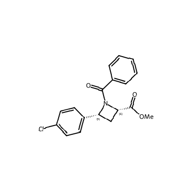 COC(=O)[C@@H]1C[C@H](c2ccc(Cl)cc2)N1C(=O)c1ccccc1